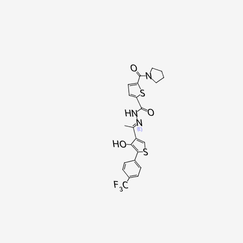 C/C(=N\NC(=O)c1ccc(C(=O)N2CCCC2)s1)c1csc(-c2ccc(C(F)(F)F)cc2)c1O